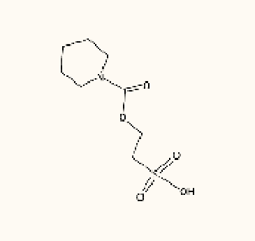 O=C(OCCS(=O)(=O)O)N1CCCCC1